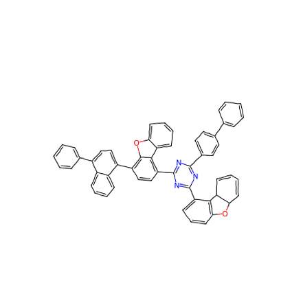 C1=CC2Oc3cccc(-c4nc(-c5ccc(-c6ccccc6)cc5)nc(-c5ccc(-c6ccc(-c7ccccc7)c7ccccc67)c6oc7ccccc7c56)n4)c3C2C=C1